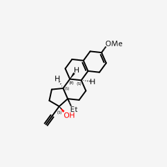 C#C[C@]1(O)CC[C@H]2[C@@H]3CCC4=C(CC=C(OC)C4)[C@H]3CCC21CC